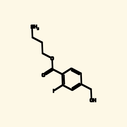 O=C(OCCC[SiH3])c1ccc(CO)cc1I